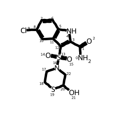 NC(=O)c1[nH]c2ccc(Cl)cc2c1S(=O)(=O)N1CCSC(O)C1